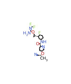 C[C@H](C#N)Oc1ccc(C(=O)Nc2ccc(F)c([C@H]3C[C@H]3O/C(N)=N\C(F)F)c2)nc1